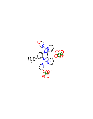 Cc1ccc2c(c1)n1c(N3CCCC3)[n+]3ccccc3c1c1c3ccccn3c(N3CCOCC3)[n+]21.[O-][Cl+3]([O-])([O-])[O-].[O-][Cl+3]([O-])([O-])[O-]